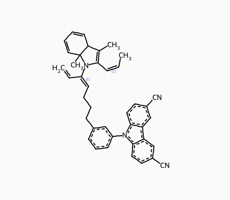 C=C/C(=C\CCCc1cccc(-n2c3ccc(C#N)cc3c3cc(C#N)ccc32)c1)N1C(/C=C\C)=C(C)C2C=CC=CC21C